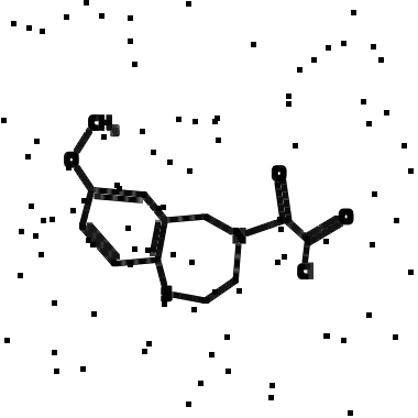 COc1ccc2c(c1)CN(C(=O)C(=O)Cl)CCS2